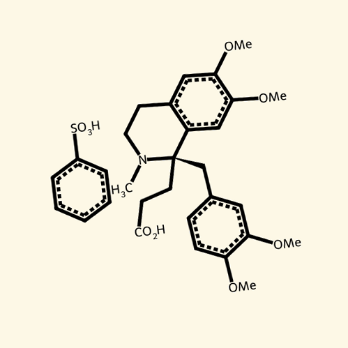 COc1ccc(C[C@]2(CCC(=O)O)c3cc(OC)c(OC)cc3CCN2C)cc1OC.O=S(=O)(O)c1ccccc1